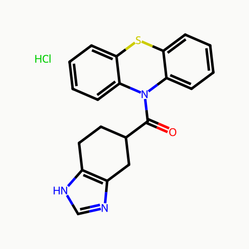 Cl.O=C(C1CCc2[nH]cnc2C1)N1c2ccccc2Sc2ccccc21